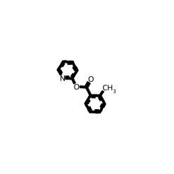 Cc1ccccc1C(=O)Oc1ccccn1